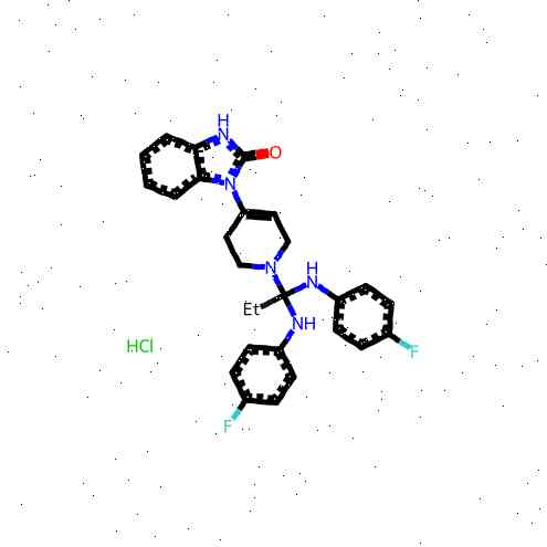 CCC(Nc1ccc(F)cc1)(Nc1ccc(F)cc1)N1CC=C(n2c(=O)[nH]c3ccccc32)CC1.Cl